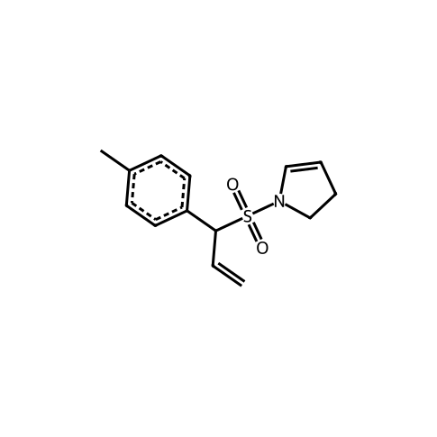 C=CC(c1ccc(C)cc1)S(=O)(=O)N1C=CCC1